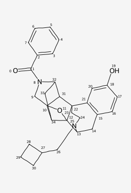 O=C(c1ccccc1)N1CC23OC45C6Cc7ccc(O)cc7C4(CCN6CC4CCC4)C2C1CC35